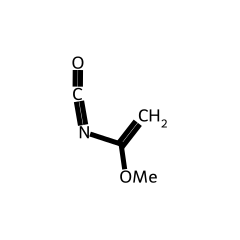 C=C(N=C=O)OC